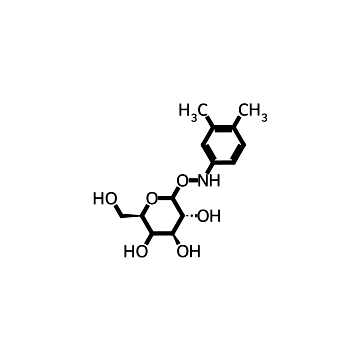 Cc1ccc(NOC2O[C@H](CO)C(O)[C@H](O)[C@H]2O)cc1C